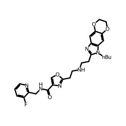 CCCCn1c(CCNCCc2nc(C(=O)NCc3ncccc3F)co2)nc2cc3c(cc21)OCCO3